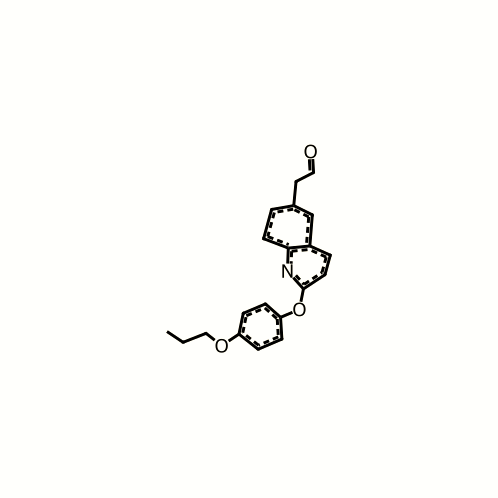 CCCOc1ccc(Oc2ccc3cc(CC=O)ccc3n2)cc1